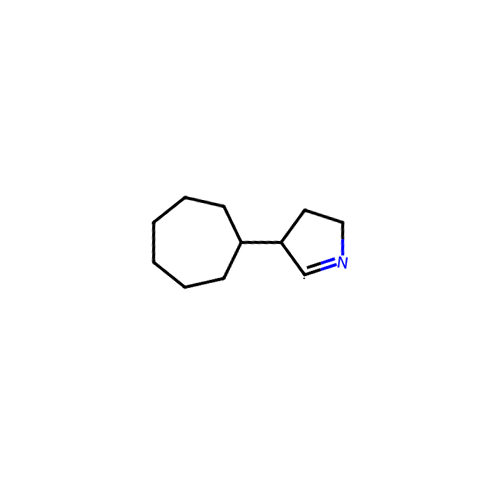 [C]1=NCCC1C1CCCCCC1